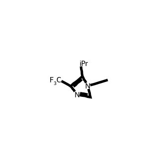 CC(C)c1c(C(F)(F)F)ncn1C